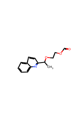 CC(OCCO[C]=O)c1ccc2ccccc2n1